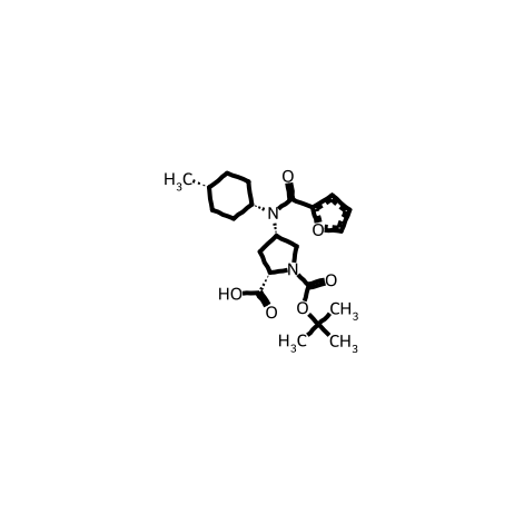 CC(C)(C)OC(=O)N1C[C@@H](N(C(=O)c2ccco2)[C@H]2CC[C@@H](C)CC2)C[C@H]1C(=O)O